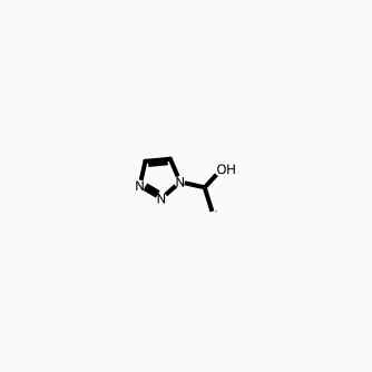 [CH2]C(O)n1ccnn1